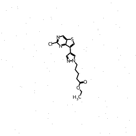 CCOC(=O)CCCCn1cc(-c2csc3cnc(Cl)nc23)cn1